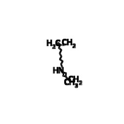 C=CC(=C)CCCCCCCCNC1CC(C(=C)C)C1